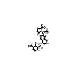 CC(=O)N1CC[C@H](Oc2cc3c(N[C@H](C)c4cccc(C(F)F)c4F)ccnc3cc2OC2CC2)C1